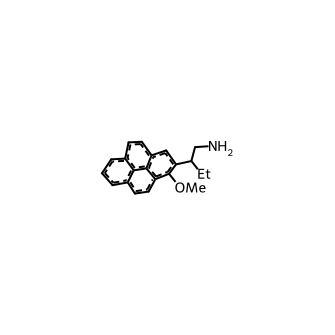 CCC(CN)c1cc2ccc3cccc4ccc(c1OC)c2c34